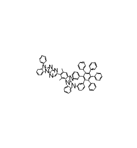 Cc1cc2nc3n(-c4cccc(-c5c(-c6ccccc6)c(-c6ccccc6)c(-c6ccccc6)c(-c6ccccc6)c5-c5ccccc5)c4)c4ccccc4n3c2c(C)c1-c1cnc2c(n1)nc1n(-c3ccccc3)c3ccccc3n21